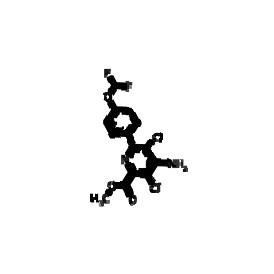 COC(=O)c1nc(-c2ccc(OC(F)F)cc2)c(Cl)c(N)c1Cl